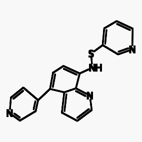 c1cncc(SNc2ccc(-c3ccncc3)c3cccnc23)c1